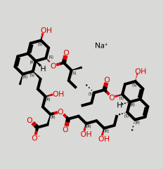 CC[C@H](C)C(=O)O[C@H]1C[C@H](O)C=C2C=C[C@H](C)[C@H](CC[C@@H](O)C[C@@H](O)CC(=O)O[C@@H](CC(=O)[O-])C[C@H](O)CC[C@@H]3[C@@H]4C(=C[C@@H](O)C[C@@H]4OC(=O)[C@@H](C)CC)C=C[C@@H]3C)[C@H]21.[Na+]